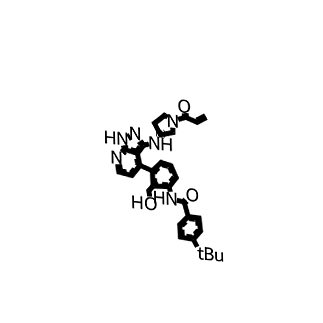 C=CC(=O)N1CC[C@@H](Nc2n[nH]c3nccc(-c4cccc(NC(=O)c5ccc(C(C)(C)C)cc5)c4CO)c23)C1